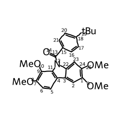 COc1cc2c3ccc(OC)c(OC)c3n(C(=O)c3ccc(C(C)(C)C)cc3)c2cc1OC